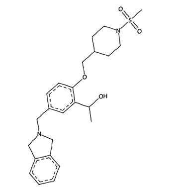 CC(O)c1cc(CN2Cc3ccccc3C2)ccc1OCC1CCN(S(C)(=O)=O)CC1